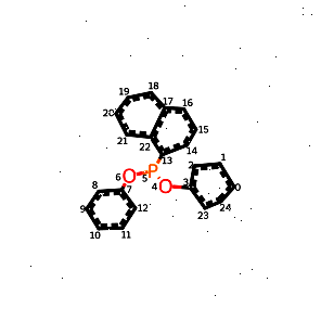 c1ccc(OP(Oc2ccccc2)c2cccc3ccccc23)cc1